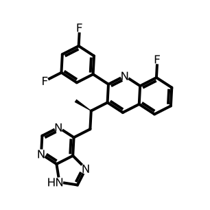 C[C@H](Cc1ncnc2[nH]cnc12)c1cc2cccc(F)c2nc1-c1cc(F)cc(F)c1